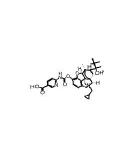 CC(C)(C)C(C)(O)[C@H]1C[C@@]23CC[C@@]1(C)[C@@H]1Oc4c(OC(=O)Nc5ccc(C(=O)O)cn5)ccc5c4[C@@]12CCN(CC1CC1)[C@@H]3C5